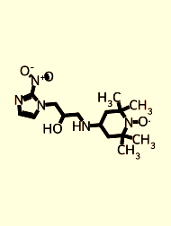 CC1(C)CC(NCC(O)Cn2ccnc2[N+](=O)[O-])CC(C)(C)N1[O]